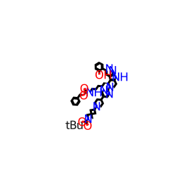 CC(C)(C)OC(=O)N1CC2(CC(N3CCC(c4cnc(N5CCc6[nH]c7nnc(-c8ccccc8O)cc7c6[C@@H]5CCCCCNC(=O)OCc5ccccc5)nc4)CC3)C2)C1